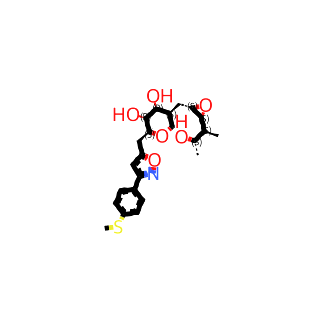 CSc1ccc(-c2cc(C[C@@H]3OC[C@H](C[C@@H]4O[C@H]4[C@@H](C)[C@H](C)O)[C@@H](O)[C@H]3O)on2)cc1